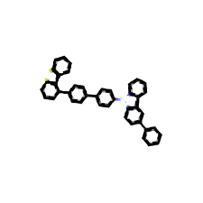 c1ccc(-c2ccc3c(c2)c2ccccc2n3-c2ccc(-c3ccc(-c4cccc5sc6ccccc6c45)cc3)cc2)cc1